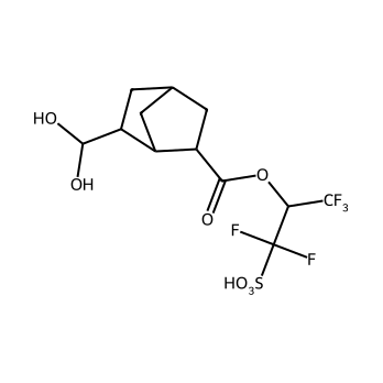 O=C(OC(C(F)(F)F)C(F)(F)S(=O)(=O)O)C1CC2CC(C(O)O)C1C2